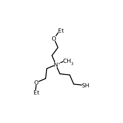 CCOCC[N+](C)(CCCS)CCOCC